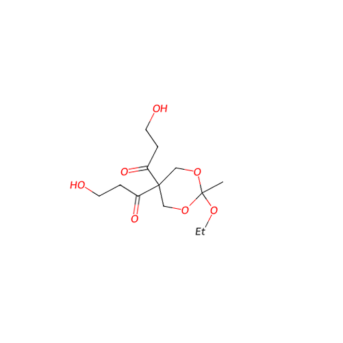 CCOC1(C)OCC(C(=O)CCO)(C(=O)CCO)CO1